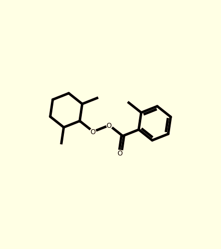 Cc1ccccc1C(=O)OO[C]1C(C)CCCC1C